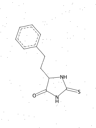 O=C1NC(=S)NC1CCc1ccccc1